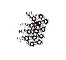 CCCCc1cc(C)cc(N2c3cc(C)cc(I)c3B3c4cc5c(cc4N(c4ccccc4)c4cc(N(c6ccccc6)c6ccccc6)cc2c43)N(c2ccccc2)c2cc(N(c3ccccc3)c3ccccc3)cc3c2B5c2c(CCCC)cc(C)cc2N3c2cc(C)cc(I)c2)c1